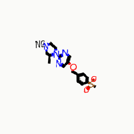 CC1CN(C#N)CCN1c1ncc(OCc2ccc(S(C)(=O)=O)cc2)cn1